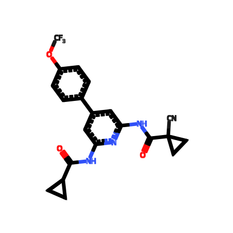 N#CC1(C(=O)Nc2cc(-c3ccc(OC(F)(F)F)cc3)cc(NC(=O)C3CC3)n2)CC1